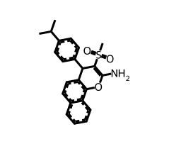 CC(C)c1ccc(C2C(S(C)(=O)=O)=C(N)Oc3c2ccc2ccccc32)cc1